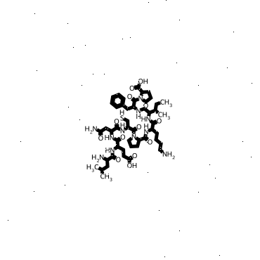 CCC(C)C(NC(=O)C(CCCCN)NC(=O)C1CCCN1C(=O)C(CS)NC(=O)C(CC(N)=O)NC(=O)C(CCC(=O)O)NC(=O)C(N)CC(C)C)C(=O)NC(Cc1ccccc1)C(=O)N1CCCC1C(=O)O